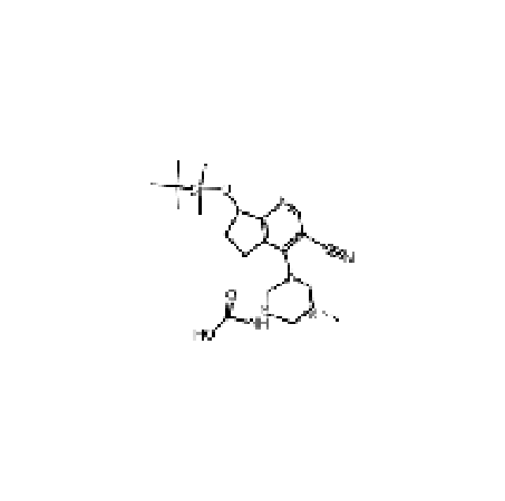 C[C@@H]1C[C@H](NC(=O)O)CN(c2c(C#N)cnc3c2CCC3O[Si](C)(C)C(C)(C)C)C1